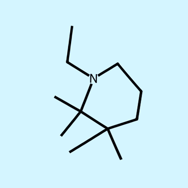 CCN1CCCC(C)(C)C1(C)C